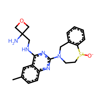 Cc1ccc2nc(N3CC[S+]([O-])c4ccccc4C3)nc(NCC3(N)COC3)c2c1